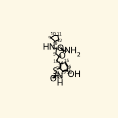 NC(=O)OC(CCNC1CCCC1)Cc1ccc(O)c2[nH]c(=O)sc12